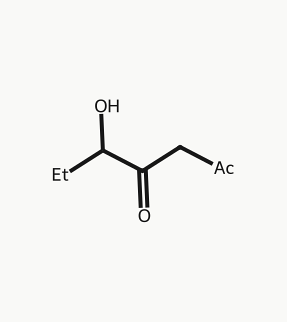 CCC(O)C(=O)CC(C)=O